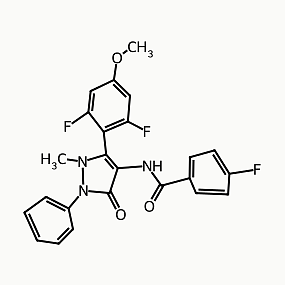 COc1cc(F)c(-c2c(NC(=O)c3ccc(F)cc3)c(=O)n(-c3ccccc3)n2C)c(F)c1